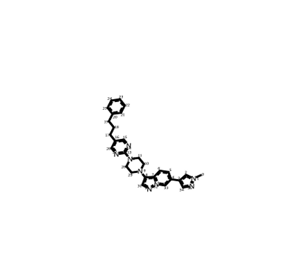 Cn1cc(-c2ccc3c(N4CCN(c5ncc(CCCc6ccccc6)cn5)CC4)cnn3c2)cn1